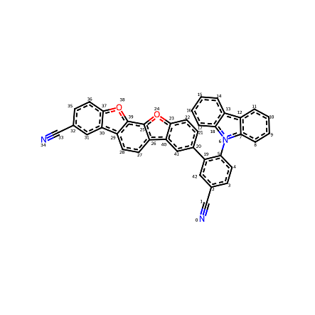 N#Cc1ccc(-n2c3ccccc3c3ccccc32)c(-c2ccc3oc4c(ccc5c6cc(C#N)ccc6oc54)c3c2)c1